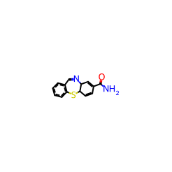 NC(=O)C1=CC2N=Cc3ccccc3SC2C=C1